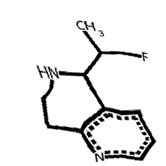 CC(F)C1NCCc2ncccc21